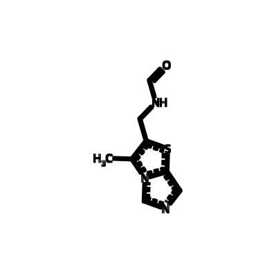 Cc1c(CNC=O)sc2cncn12